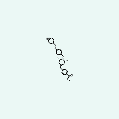 COC(=O)c1ccc(CN2C[C@@H](C)N(Cc3ccc(OCC4CCNCC4)cc3)[C@@H](C)C2)cc1